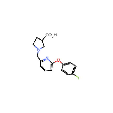 O=C(O)C1CCN(Cc2cccc(Oc3ccc(F)cc3)n2)C1